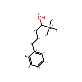 C[Si](C)(C)C(O)CCCc1ccccc1